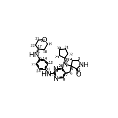 O=C1NCCC12Cc1cnc(Nc3ccc(NC4CCOCC4)cc3)nc1N2C1CCCC1